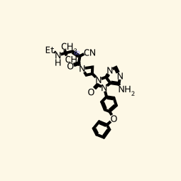 CCNC(C)(C)/C=C(/C#N)C(=O)N1CC(n2c(=O)n(-c3ccc(Oc4ccccc4)cc3)c3c(N)ncnc32)C1